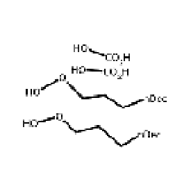 CCCCCCCCCCCCCOO.CCCCCCCCCCCCCOO.O=C(O)O.O=C(O)O